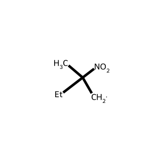 [CH2]C(C)(CC)[N+](=O)[O-]